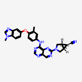 Cc1cc(Nc2ncnc3cnc(N4C[C@@H]5[C@@H](C#N)[C@@H]5C4)nc23)ccc1Oc1ccc2c(c1)ncn2C